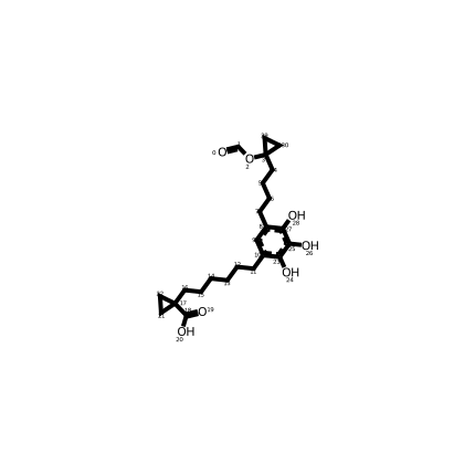 O=COC1(CCCCc2cc(CCCCCCC3(C(=O)O)CC3)c(O)c(O)c2O)CC1